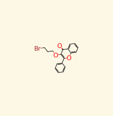 O=c1c(OCCCBr)c(-c2ccccc2)oc2ccccc12